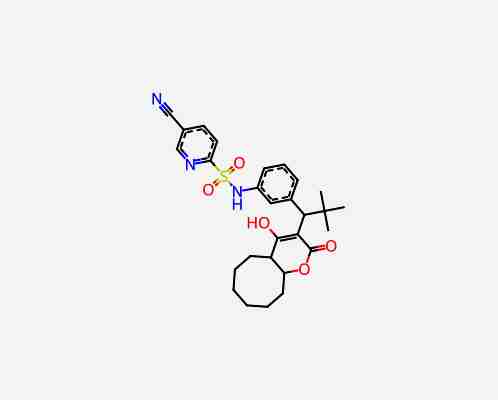 CC(C)(C)C(C1=C(O)C2CCCCCCC2OC1=O)c1cccc(NS(=O)(=O)c2ccc(C#N)cn2)c1